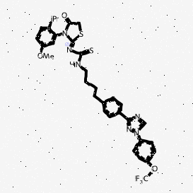 COc1ccc(C(C)C)c(N2C(=O)CS/C2=N\C(=S)NCCCCc2ccc(-c3ncn(-c4ccc(OC(F)(F)F)cc4)n3)cc2)c1